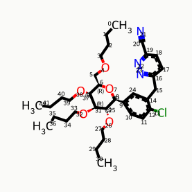 CCCCOC[C@H]1O[C@@H](c2ccc(Cl)c(Cc3ccc(C#N)nn3)c2)[C@H](OCCCC)[C@@H](OCCCC)[C@@H]1OCCCC